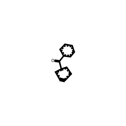 O=C(c1cc#ccc1)c1ccccc1